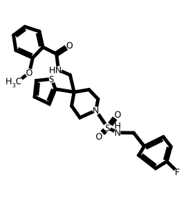 COc1ccccc1C(=O)NCC1(c2cccs2)CCN(S(=O)(=O)NCc2ccc(F)cc2)CC1